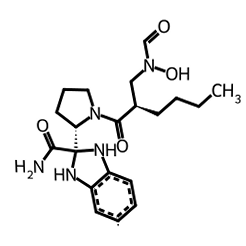 CCCC[C@H](CN(O)C=O)C(=O)N1CCC[C@H]1C1(C(N)=O)Nc2c[c]ccc2N1